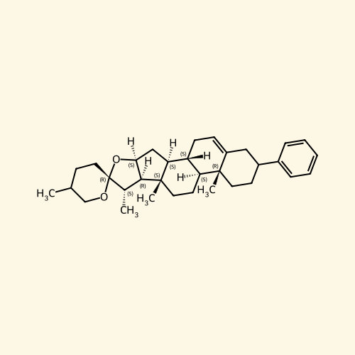 CC1CC[C@@]2(OC1)O[C@H]1C[C@H]3[C@@H]4CC=C5CC(c6ccccc6)CC[C@]5(C)[C@H]4CC[C@]3(C)[C@H]1[C@@H]2C